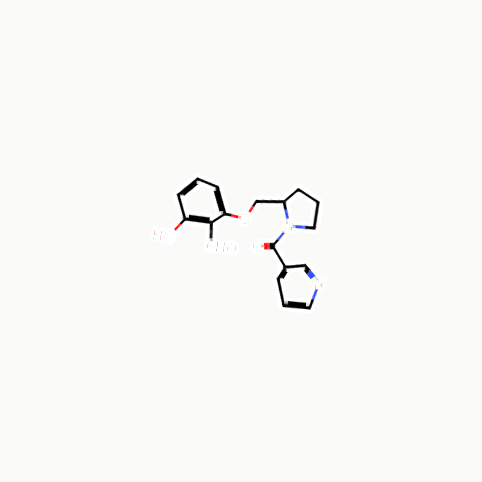 O=Cc1c(O)cccc1OCC1CCCN1C(=O)c1cccnc1